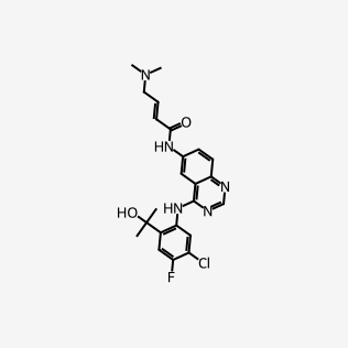 CN(C)CC=CC(=O)Nc1ccc2ncnc(Nc3cc(Cl)c(F)cc3C(C)(C)O)c2c1